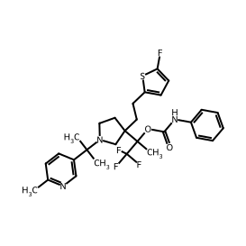 Cc1ccc(C(C)(C)N2CCC(CCc3ccc(F)s3)(C(C)(OC(=O)Nc3ccccc3)C(F)(F)F)C2)cn1